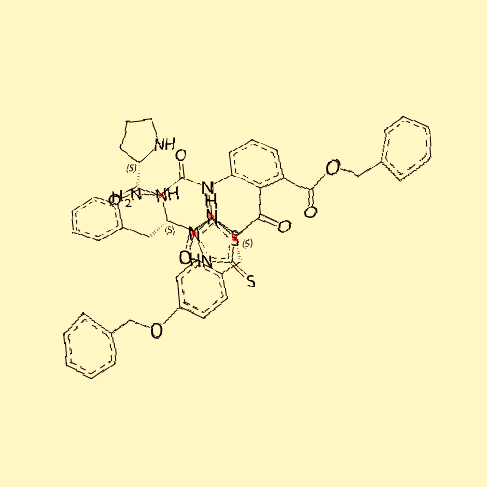 NCC(=O)N(c1n[nH]c(=S)s1)c1cccc(C(=O)OCc2ccccc2)c1C(=O)[C@H](Cc1ccc(OCc2ccccc2)cc1)NC(=O)[C@H](Cc1ccccc1)NC(=O)[C@@H]1CCCN1